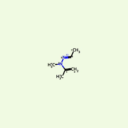 C=C(C)N(C)/N=C/C